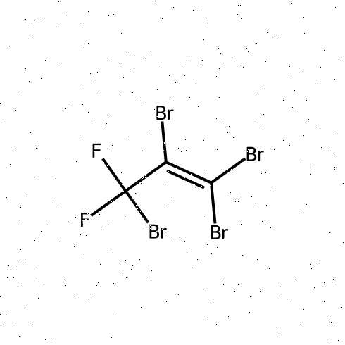 FC(F)(Br)C(Br)=C(Br)Br